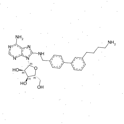 NCCCCc1cccc(-c2ccc(CNc3nc4c(N)ncnc4n3[C@@H]3O[C@H](CO)[C@@H](O)[C@H]3O)cc2)c1